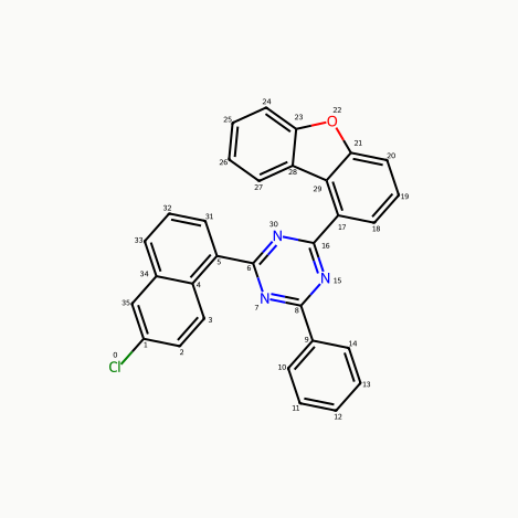 Clc1ccc2c(-c3nc(-c4ccccc4)nc(-c4cccc5oc6ccccc6c45)n3)cccc2c1